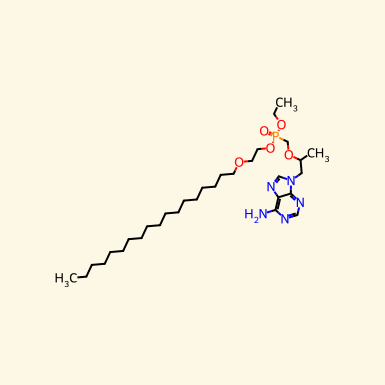 CCCCCCCCCCCCCCCCCCOCCOP(=O)(COC(C)Cn1cnc2c(N)ncnc21)OCC